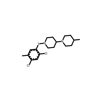 Cc1cc(SN2CCC(N3CCC(C)CC3)CC2)c(Cl)cc1Cl